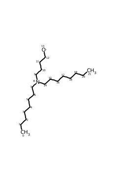 CCCCCCCCN(CCCC[O])CCCCCCCC